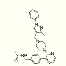 CC(=O)NCc1ccc(-c2nccnc2N2CCN(Cc3cn(-c4ccccc4)nc3C)CC2)cc1